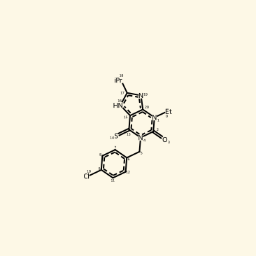 CCn1c(=O)n(Cc2ccc(Cl)cc2)c(=S)c2[nH]c(C(C)C)nc21